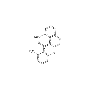 COc1cccc2ccc3oc4cccc(C(F)(F)F)c4c(=O)c3c12